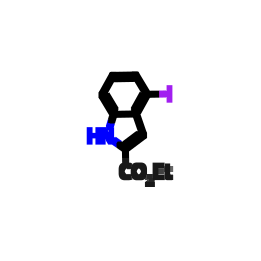 CCOC(=O)c1cc2c(I)cccc2[nH]1